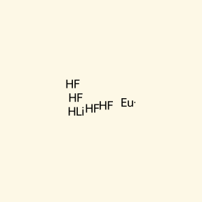 F.F.F.F.[Eu].[LiH]